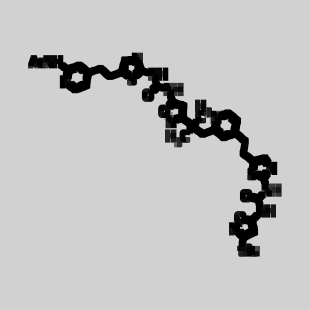 CC(=O)Nc1cc(CCc2cnc(NC(=O)Nc3cc(C(C)(C)Cc4cc(CCc5cnc(NC(=O)Nc6cc(C(C)(C)C)no6)s5)ccn4)no3)s2)ccn1